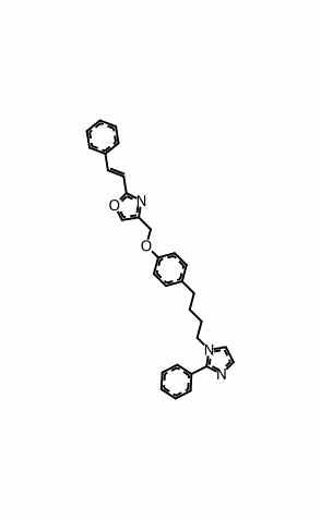 C(=C\c1nc(COc2ccc(CCCCn3ccnc3-c3ccccc3)cc2)co1)/c1ccccc1